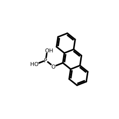 OP(O)Oc1c2ccccc2cc2ccccc12